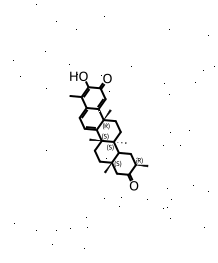 CC1=C(O)C(=O)C=C2C1=CC=C1[C@@]2(C)CC[C@@]2(C)C3C[C@@H](C)C(=O)C[C@]3(C)CC[C@]12C